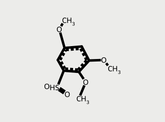 COc1cc(OC)c(OC)c([SH](=O)=O)c1